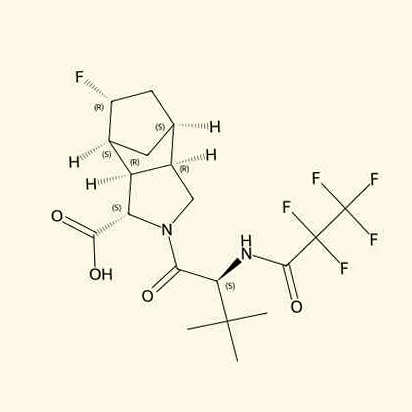 CC(C)(C)[C@H](NC(=O)C(F)(F)C(F)(F)F)C(=O)N1C[C@@H]2[C@H]3C[C@@H]([C@@H]2[C@H]1C(=O)O)[C@H](F)C3